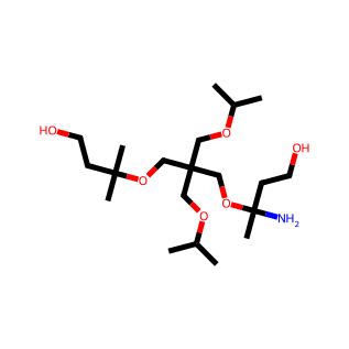 CC(C)OCC(COC(C)C)(COC(C)(C)CCO)COC(C)(N)CCO